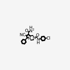 N#Cc1c(C(N)=O)c2n(c1-c1ccccc1)CCN(C(=O)Nc1ccc(Cl)cc1)C2